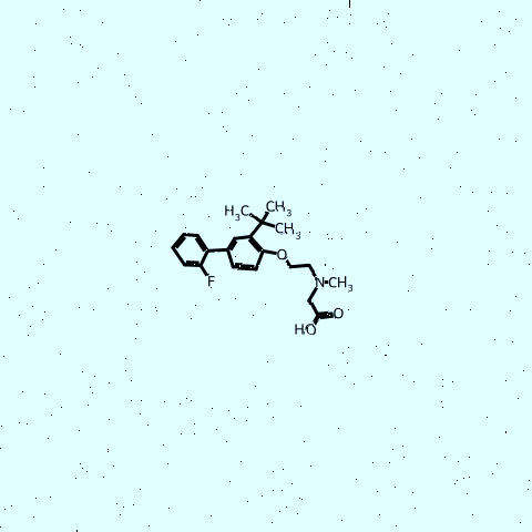 CN(CCOc1ccc(-c2ccccc2F)cc1C(C)(C)C)CC(=O)O